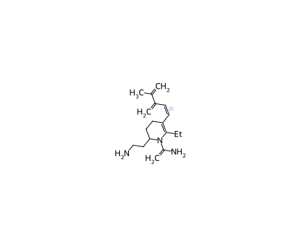 C=C(C)C(=C)/C=C\C1=C(CC)N(C(=C)N)C(CCN)CC1